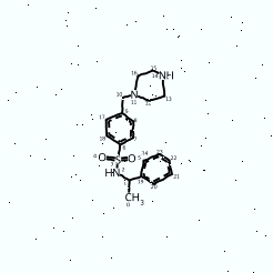 CC(NS(=O)(=O)c1ccc(CN2CCNCC2)cc1)c1ccccc1